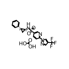 O=C(O)O.O=S(=O)(N[C@H]1C[C@@H]1c1ccccc1)c1ccc(-n2cc(C(F)(F)F)cn2)nc1